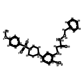 CC(C)Oc1ccc(S(=O)(=O)N2CCN(c3ccc([N+](=O)[O-])c(OCC(=O)NOCc4ccccc4)c3)CC2)cc1